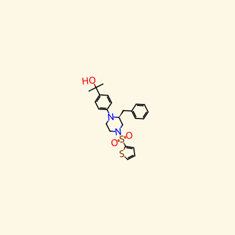 CC(C)(O)c1ccc(N2CCN(S(=O)(=O)c3cccs3)C[C@@H]2Cc2ccccc2)cc1